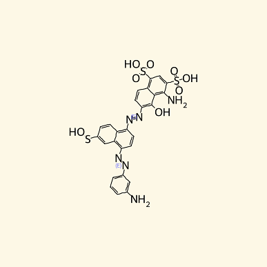 Nc1cccc(/N=N/c2ccc(/N=N/c3ccc4c(S(=O)(=O)O)cc(S(=O)(=O)O)c(N)c4c3O)c3ccc(SO)cc23)c1